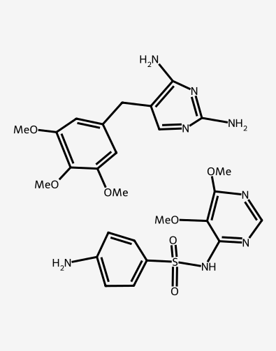 COc1cc(Cc2cnc(N)nc2N)cc(OC)c1OC.COc1ncnc(NS(=O)(=O)c2ccc(N)cc2)c1OC